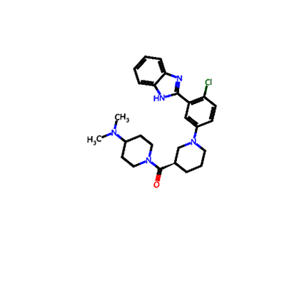 CN(C)C1CCN(C(=O)[C@@H]2CCCN(c3ccc(Cl)c(-c4nc5ccccc5[nH]4)c3)C2)CC1